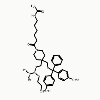 COc1ccc(C(OCC2(COP(OCCC#N)N(C(C)C)C(C)C)CCN(C(=O)CCCCCNC(=O)C(F)(F)F)CC2)(c2ccccc2)c2ccc(OC)cc2)cc1